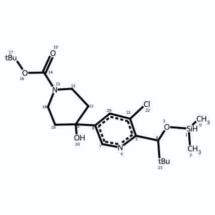 C[SiH](C)OC(c1ncc(C2(O)CCN(C(=O)OC(C)(C)C)CC2)cc1Cl)C(C)(C)C